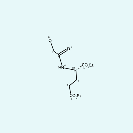 CCOC(=O)CC[C@H](NC(=O)C[O])C(=O)OCC